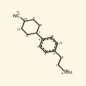 CCC(C)CCc1ccc(C2CCC(C#N)CC2)cc1